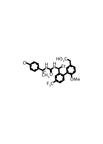 CCC(NC(=O)N[C@@H](C)c1ccc(Cl)cc1)c1cc(C(F)(F)F)ccc1-c1cc(CC(=O)O)ccc1OC